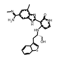 C/N=C(\N)c1cc(C)c2nc(-c3c(N[C@H](CO)CC4=CSC5C=CC=CC45)cc[nH]c3=O)[nH]c2c1